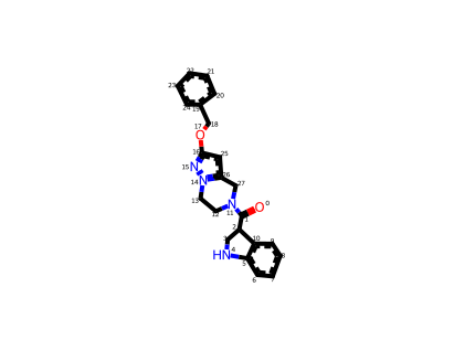 O=C(C1CNc2ccccc21)N1CCn2nc(OCc3ccccc3)cc2C1